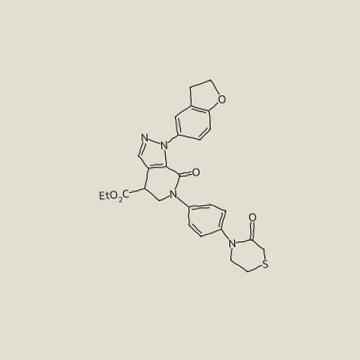 CCOC(=O)C1CN(c2ccc(N3CCSCC3=O)cc2)C(=O)c2c1cnn2-c1ccc2c(c1)CCO2